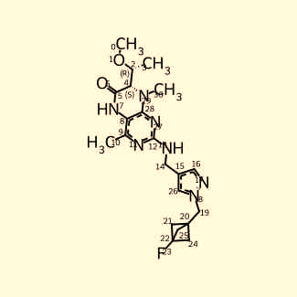 CO[C@H](C)[C@H]1C(=O)Nc2c(C)nc(NCc3cnn(CC45CC(F)(C4)C5)c3)nc2N1C